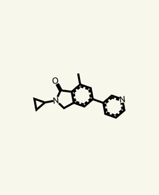 Cc1cc(-c2cccnc2)cc2c1C(=O)N(C1CC1)C2